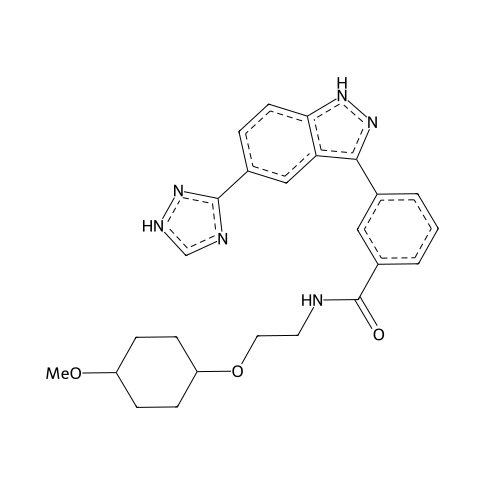 COC1CCC(OCCNC(=O)c2cccc(-c3n[nH]c4ccc(-c5nc[nH]n5)cc34)c2)CC1